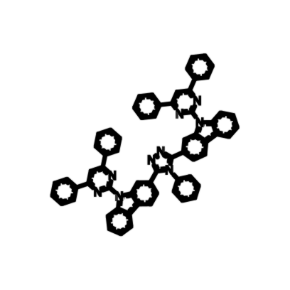 c1ccc(-c2cc(-c3ccccc3)nc(-n3c4ccccc4c4ccc(-c5nnc(-c6ccc7c8ccccc8n(-c8nc(-c9ccccc9)cc(-c9ccccc9)n8)c7c6)n5-c5ccccc5)cc43)n2)cc1